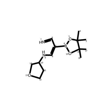 CC1(C)OB(/C(C=N)=C/NC2CCOC2)OC1(C)C